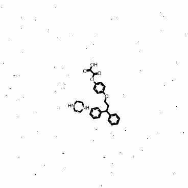 C1CNCCN1.O=C(O)C(=O)Oc1ccc(OCCC(c2ccccc2)c2ccccc2)cc1